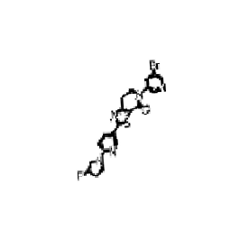 O=C1c2sc(-c3ccc(N4CCC(F)C4)nc3)nc2CCN1c1cncc(Br)c1